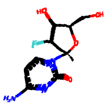 C[C@@]1(n2ccc(N)nc2=O)O[C@H](CO)C(O)C1F